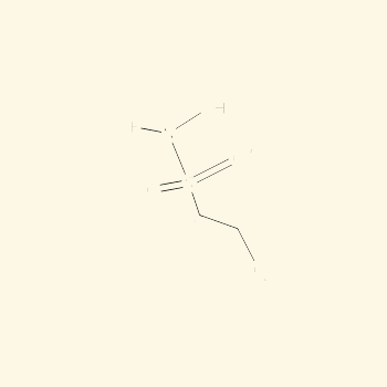 CN(F)S(=O)(=O)CCCl